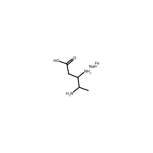 CC(N)C(N)CC(=O)O.[Fe].[NaH]